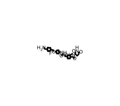 NCc1ccc(COc2ccc(NC(=O)NCc3ccc4c(c3)CN(C3CCC(=O)NC3=O)C4=O)cc2)c(F)c1